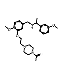 COc1cccc(C(C)NCc2ccc(OC)c(OCCN3CCN(C(C)=O)CC3)c2)c1